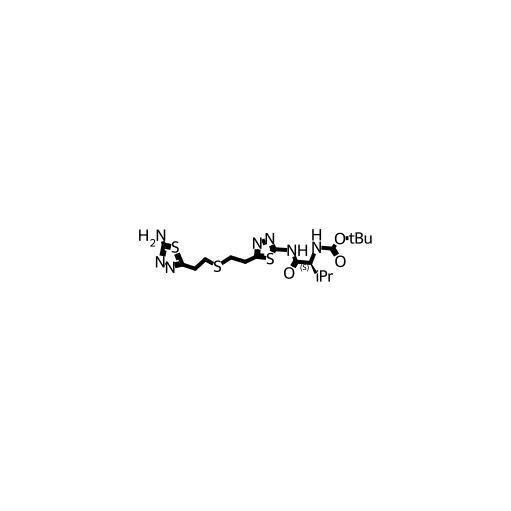 CC(C)[C@H](NC(=O)OC(C)(C)C)C(=O)Nc1nnc(CCSCCc2nnc(N)s2)s1